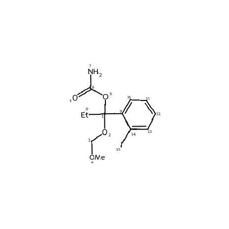 CCC(OCOC)(OC(N)=O)c1ccccc1I